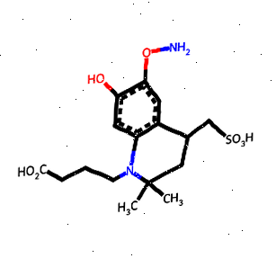 CC1(C)CC(CS(=O)(=O)O)c2cc(ON)c(O)cc2N1CCCC(=O)O